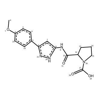 COc1ccc(-c2cc(NC(=O)C3CCCN3C(=O)O)[nH]n2)cc1